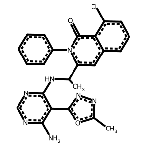 Cc1nnc(-c2c(N)ncnc2NC(C)c2cc3cccc(Cl)c3c(=O)n2-c2ccccc2)o1